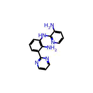 Nc1cccnc1Nc1cccc(-c2ncccn2)c1N